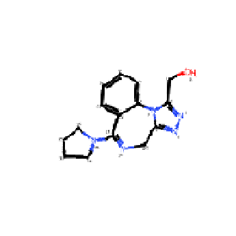 OCc1nnc2n1-c1ccccc1C(N1CCCC1)=NC2